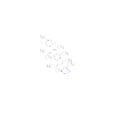 N#CC(C#N)=C1C(c2cc(F)c(C#N)cc2F)=C(C#N)c2c1cc1c(c2C#N)C(C#N)=C(c2ccc(F)nc2C#N)C1=C(C#N)C#N